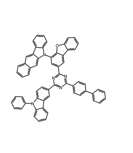 c1ccc(-c2ccc(-c3nc(-c4cc(-n5c6ccccc6c6cc7ccccc7cc65)c5oc6ccccc6c5c4)nc(-c4ccc5c(c4)c4ccccc4n5-c4ccccc4)n3)cc2)cc1